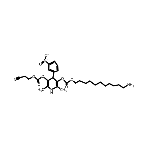 CC1=C(OC(=O)OCCC#N)C(c2cccc([N+](=O)[O-])c2)C(OC(=O)OCCCCCCCCCCCN)=C(C)N1